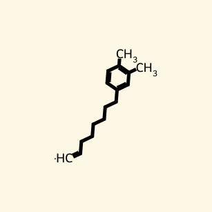 [CH]=CCCCCCCc1ccc(C)c(C)c1